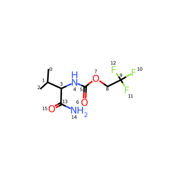 CC(C)C(NC(=O)OCC(F)(F)F)C(N)=O